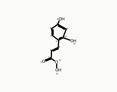 O=C(C=Cc1ccc(O)cc1O)OO